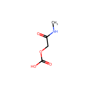 CNC(=O)COC(=O)O